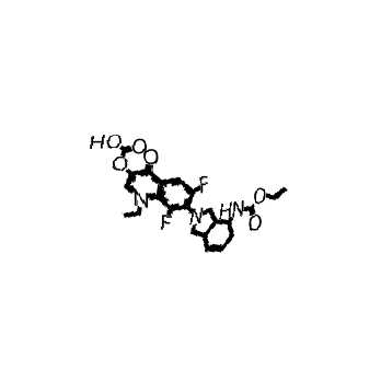 CCOC(=O)NC1CC=CC2CN(c3c(F)cc4c(=O)c(OC(=O)O)cn(CC)c4c3F)CC21